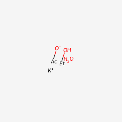 CC(=O)[O-].CCO.O.[K+]